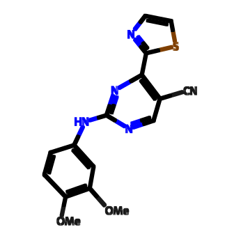 COc1ccc(Nc2ncc(C#N)c(-c3nccs3)n2)cc1OC